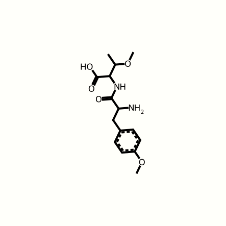 COc1ccc(CC(N)C(=O)NC(C(=O)O)C(C)OC)cc1